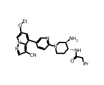 CCOc1cc(-c2ccc(N3CC[C@@H](NC(=O)CC(C)C)[C@H](N)C3)nc2)c2c(C#N)cnn2c1